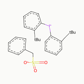 CC(C)(C)c1ccccc1[I+]c1ccccc1C(C)(C)C.O=S(=O)([O-])Cc1ccccc1